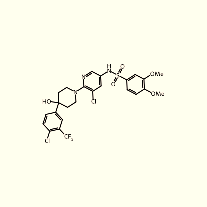 COc1ccc(S(=O)(=O)Nc2cnc(N3CCC(O)(c4ccc(Cl)c(C(F)(F)F)c4)CC3)c(Cl)c2)cc1OC